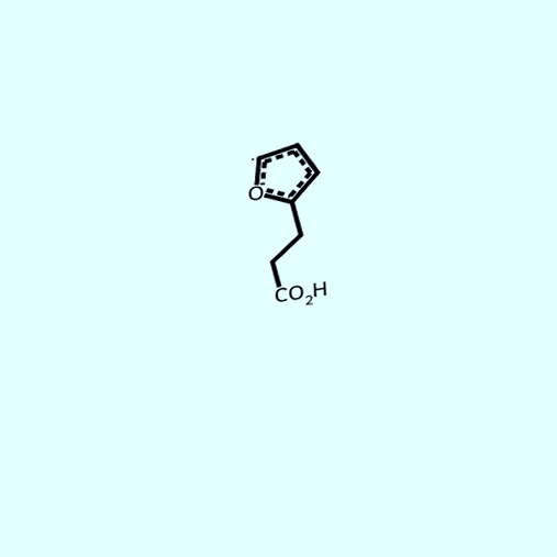 O=C(O)CCc1cc[c]o1